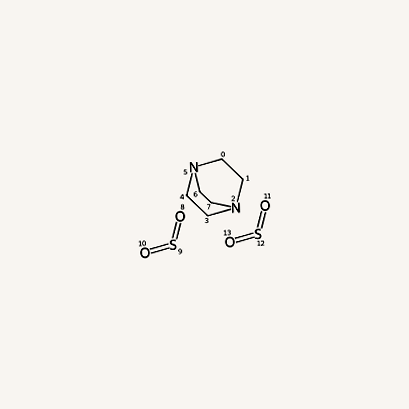 C1CN2CCN1CC2.O=S=O.O=S=O